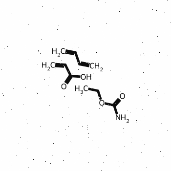 C=CC(=O)O.C=CC=C.CCOC(N)=O